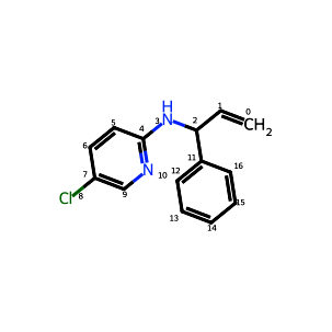 C=CC(Nc1ccc(Cl)cn1)c1ccccc1